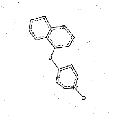 [O-][n+]1ccc(Oc2cccc3ccccc23)cc1